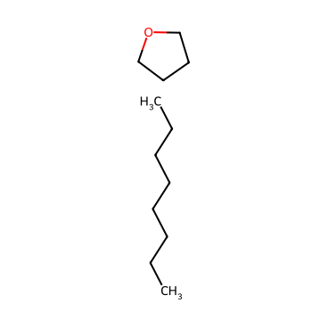 C1CCOC1.CCCCCCCC